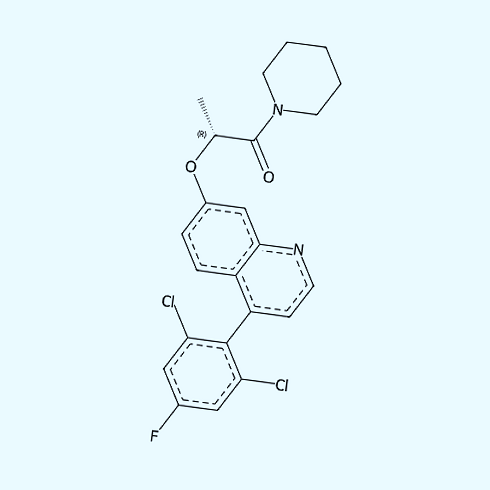 C[C@@H](Oc1ccc2c(-c3c(Cl)cc(F)cc3Cl)ccnc2c1)C(=O)N1CCCCC1